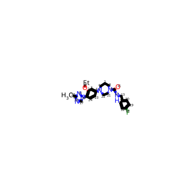 CCOc1cc(N2CCCN(C(=O)NCc3ccc(F)cc3)CC2)ccc1-n1cnc(C)n1